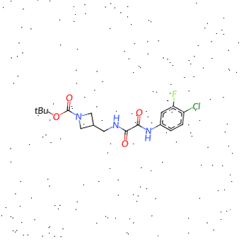 CC(C)(C)OC(=O)N1CC(CNC(=O)C(=O)Nc2ccc(Cl)c(F)c2)C1